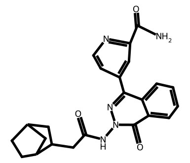 NC(=O)c1cc(-c2nn(NC(=O)CC3CC4CCC3C4)c(=O)c3ccccc23)ccn1